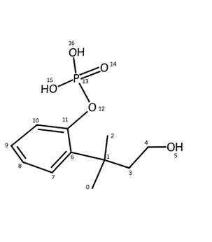 CC(C)(CCO)c1ccccc1OP(=O)(O)O